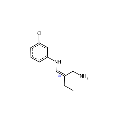 CC/C(=C/Nc1cccc(Cl)c1)CN